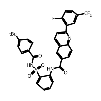 CC(C)(C)c1ccc(C(=O)NS(=O)(=O)c2ccccc2NC(=O)c2ccc3nc(-c4cc(C(F)(F)F)ccc4F)ccc3c2)cc1